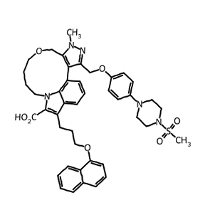 Cn1nc(COc2ccc(N3CCN(S(C)(=O)=O)CC3)cc2)c2c1COCCCCn1c(C(=O)O)c(CCCOc3cccc4ccccc34)c3cccc-2c31